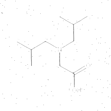 CC(C)CN(CC(=O)O)CC(C)C